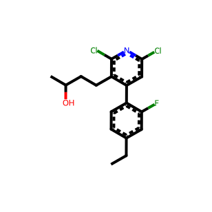 CCc1ccc(-c2cc(Cl)nc(Cl)c2CCC(C)O)c(F)c1